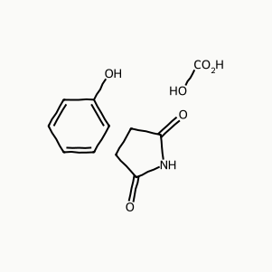 O=C(O)O.O=C1CCC(=O)N1.Oc1ccccc1